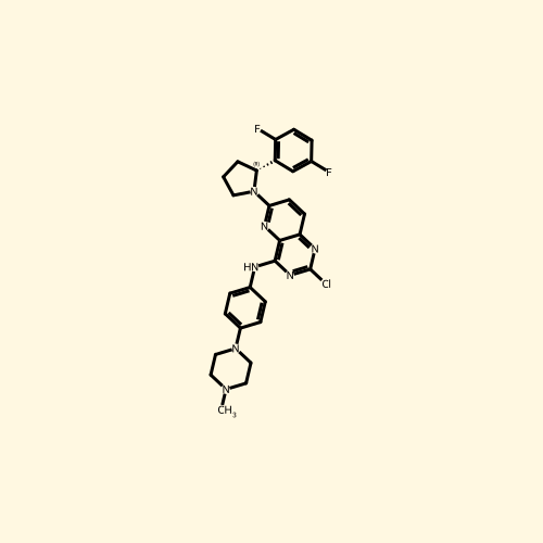 CN1CCN(c2ccc(Nc3nc(Cl)nc4ccc(N5CCC[C@@H]5c5cc(F)ccc5F)nc34)cc2)CC1